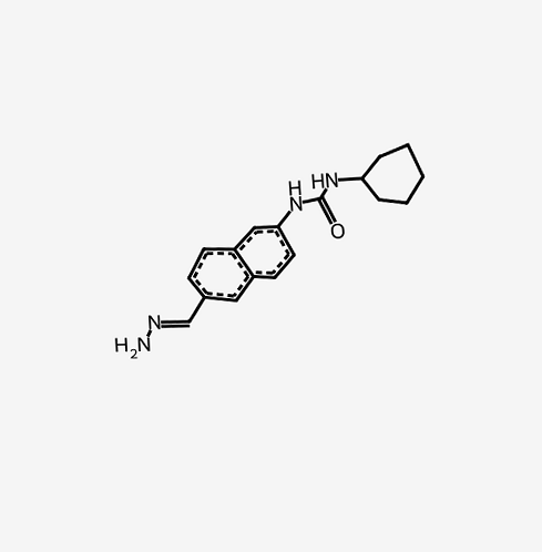 NN=Cc1ccc2cc(NC(=O)NC3CCCCC3)ccc2c1